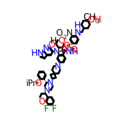 CC(C)Oc1ccccc1[C@H]1CN([C@H]2CCOc3c2ccc(F)c3F)CCN1C1CC2(CCN(c3ccc(C(=O)NS(=O)(=O)c4ccc(NCC5CCC(C)(O)CC5)c([N+](=O)[O-])c4)c(N4c5cc6cc[nH]c6nc5O[C@H]5COCC[C@@H]54)c3)CC2)C1